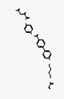 C=CC(=O)OCCCCOc1ccc(-c2ccc(C(=O)Oc3ccc(OC(=O)C(=C)CC(=O)OC)cc3)cc2)cc1